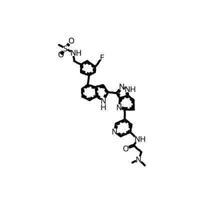 CN(C)CC(=O)Nc1cncc(-c2ccc3[nH]nc(-c4cc5c(-c6cc(F)cc(CNS(C)(=O)=O)c6)cccc5[nH]4)c3n2)c1